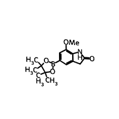 COc1cc(B2OC(C)(C)C(C)(C)O2)cc2c1NC(=O)C2